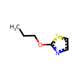 CCCOc1nc[c]s1